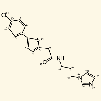 O=C(Cc1ccc(-c2ccc(Cl)cc2)s1)NCCCn1ccnc1